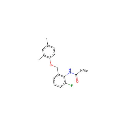 CNC(=O)Nc1c(F)cccc1COc1ccc(C)cc1C